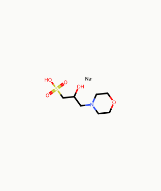 O=S(=O)(O)CC(O)CN1CCOCC1.[Na]